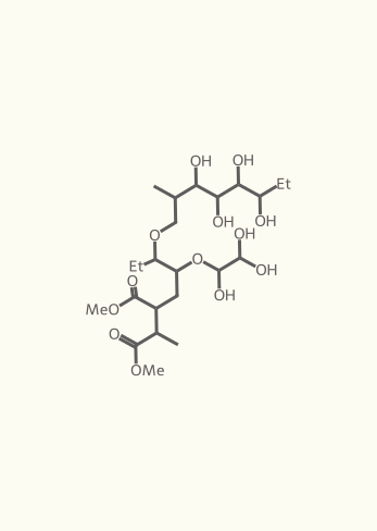 CCC(O)C(O)C(O)C(O)C(C)COC(CC)C(CC(C(=O)OC)C(C)C(=O)OC)OC(O)C(O)O